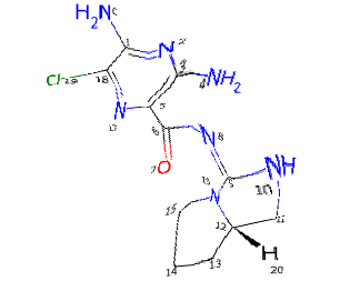 Nc1nc(N)c(C(=O)/N=C2/NC[C@@H]3CCCN23)nc1Cl